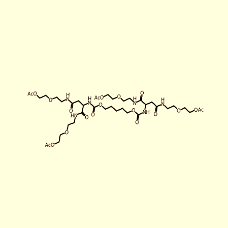 CC(=O)OCCOCCNC(=O)CC(NC(=O)OCCCCCOC(=O)NC(CC(=O)NCCOCCOC(C)=O)C(=O)NCCOCCOC(C)=O)C(=O)NCCOCCOC(C)=O